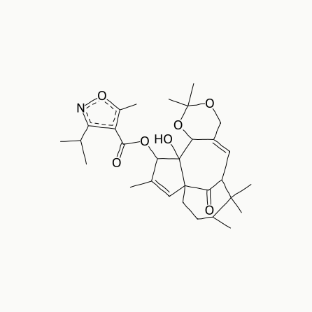 CC1=CC23CCC(C)C(C)(C)C(C=C4COC(C)(C)OC4C2(O)C1OC(=O)c1c(C(C)C)noc1C)C3=O